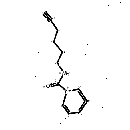 C#CCCCCNC(=O)N1C=C=CC=C1